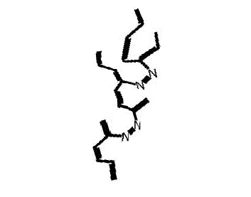 C=C/C=C\C(=C)/N=N\C(=C)\C=C/C(=C\C=C)/N=N\C(\C=C/C=C)=C\C